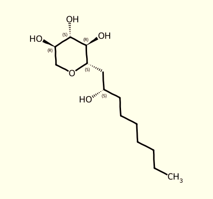 CCCCCCC[C@H](O)C[C@@H]1OC[C@@H](O)[C@H](O)[C@H]1O